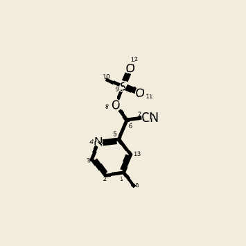 Cc1ccnc(C(C#N)OS(C)(=O)=O)c1